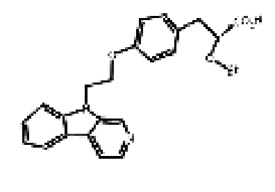 CCO[C@@H](Cc1ccc(OCCn2c3ccccc3c3ccncc32)cc1)C(=O)O